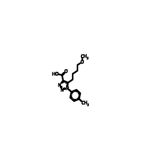 COCCCCc1c(C(=O)O)nnn1-c1ccc(C)cc1